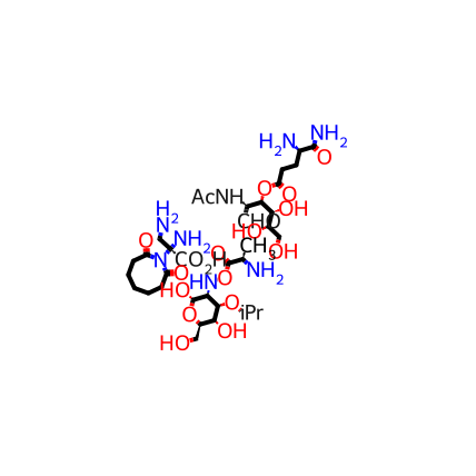 CC(=O)N[C@@H](C=O)[C@@H](OC(=O)CC[C@@H](N)C(N)=O)[C@H](O)[C@H](O)CO.CC(C)O[C@H]1[C@H](O)[C@@H](CO)O[C@H](O)[C@@H]1NOC(=O)[C@H](C)N.NC[C@](N)(C(=O)O)N1C(=O)CCCCCC1=O